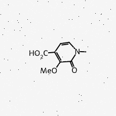 COc1c(C(=O)O)ccn(C)c1=O